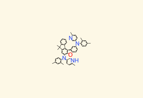 CC1=CC=C(N(c2ccc(C)cc2C)c2cc3c(c4c2oc2ccc(N(c5ccc(C)nc5)c5ccc(C)cc5C)cc24)-c2ccccc2C3(C)C)CN1